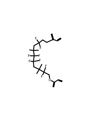 C=CC(=C)CCC(F)(F)CC(C)(C)C(F)(F)C(F)(F)CC(C)(C)C(F)(F)COC(=C)C=C